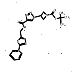 CC(C)(C)OC(=O)N1CC(n2cc(C(=O)NCc3nnc(-c4ccccc4)s3)nn2)C1